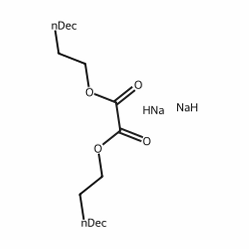 CCCCCCCCCCCCOC(=O)C(=O)OCCCCCCCCCCCC.[NaH].[NaH]